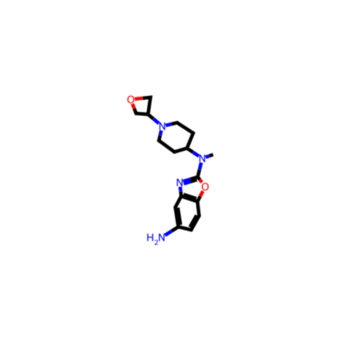 CN(c1nc2cc(N)ccc2o1)C1CCN(C2COC2)CC1